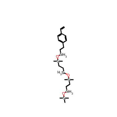 C=Cc1ccc(CC[SiH2]O[Si](C)(C)CC[SiH2]O[Si](C)(C)CC[SiH2]O[Si](C)(C)C)cc1